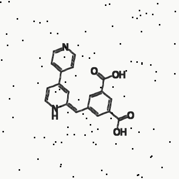 O=C(O)c1cc(C=C2C=C(c3ccncc3)C=CN2)cc(C(=O)O)c1